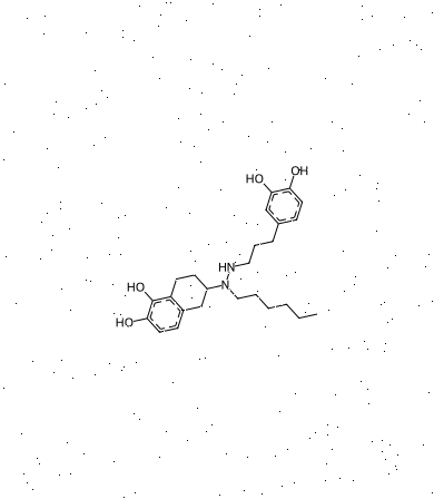 CCCCCCN(NCCCc1ccc(O)c(O)c1)C1CCc2c(ccc(O)c2O)C1